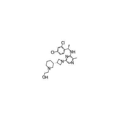 Cc1ncc(N2CC([C@H]3CCCN(CCO)C3)C2)nc1N[C@H](C)c1ccc(Cl)cc1Cl